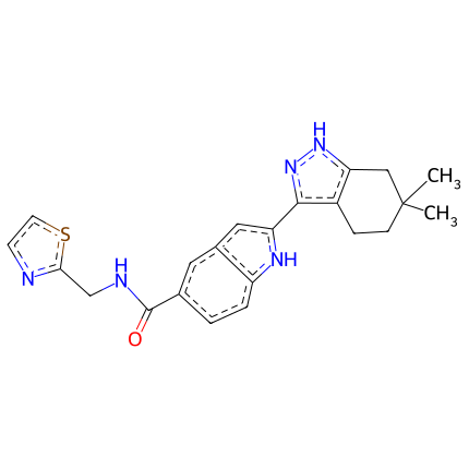 CC1(C)CCc2c(-c3cc4cc(C(=O)NCc5nccs5)ccc4[nH]3)n[nH]c2C1